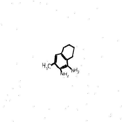 Cc1cc2c(c(N)c1N)CCCC2